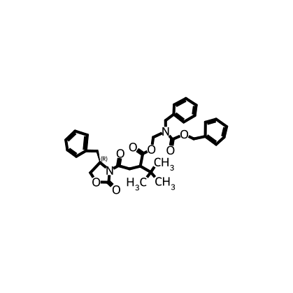 CC(C)(C)C(CC(=O)N1C(=O)OC[C@H]1Cc1ccccc1)C(=O)OCN(Cc1ccccc1)C(=O)OCc1ccccc1